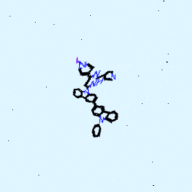 IN1C=CC(C2=CC(n3c4ccccc4c4cc(-c5ccc6c(c5)c5ccccc5n6-c5ccccc5)ccc43)NC(c3ccncc3)=N2)=CC1